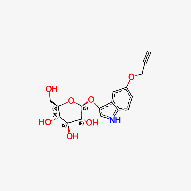 C#CCOc1ccc2[nH]cc(O[C@@H]3O[C@H](CO)[C@@H](O)[C@H](O)[C@H]3O)c2c1